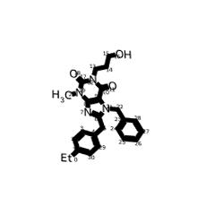 CCc1ccc(Cc2nc3c(c(=O)n(CCCO)c(=O)n3C)n2Cc2ccccc2)cc1